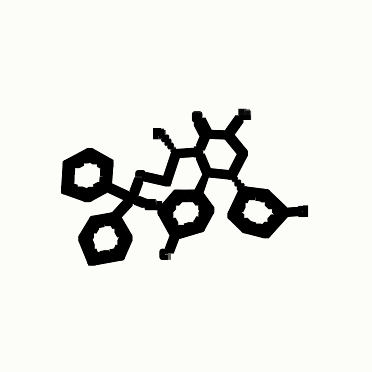 CCC1C[C@H](c2cccc(Cl)c2)[C@@H](c2ccc(Cl)cc2)N([C@@H](CC)CO[Si](c2ccccc2)(c2ccccc2)C(C)(C)C)C1=O